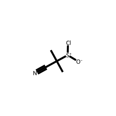 CC(C)(C#N)[S+]([O-])Cl